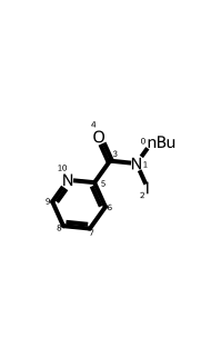 CCCCN(I)C(=O)c1ccccn1